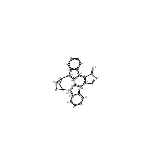 O=C1N=Cc2c1c1c3ccccc3n3c1c1c2c2ccccc2n1C1CC=C3C1